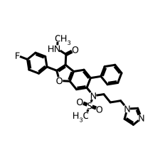 CNC(=O)c1c(-c2ccc(F)cc2)oc2cc(N(CCCn3ccnc3)S(C)(=O)=O)c(-c3ccccc3)cc12